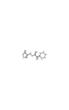 O=C(CSC1=NCCN1)NC1CCCCC1